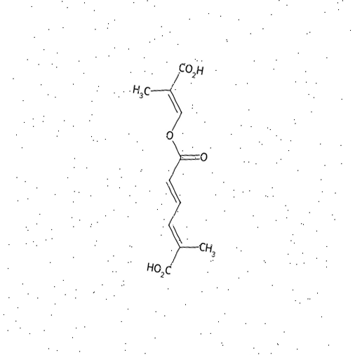 CC(=CC=CC(=O)OC=C(C)C(=O)O)C(=O)O